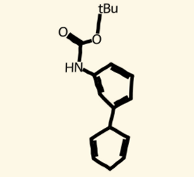 CC(C)(C)OC(=O)Nc1cccc(C2C=CCC=C2)c1